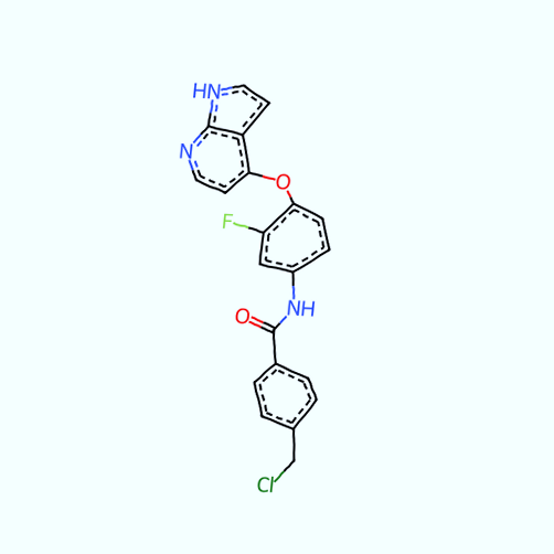 O=C(Nc1ccc(Oc2ccnc3[nH]ccc23)c(F)c1)c1ccc(CCl)cc1